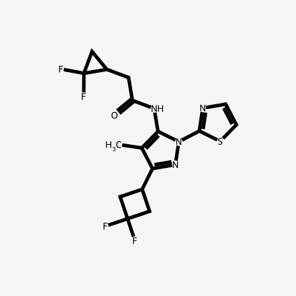 Cc1c(C2CC(F)(F)C2)nn(-c2nccs2)c1NC(=O)CC1CC1(F)F